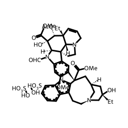 CC[C@]1(O)C[C@H]2C[N@](CCc3c([nH]c4ccccc34)[C@@](C(=O)OC)(c3cc4c(cc3OC)N(C=O)[C@H]3[C@@](O)(C(=O)OC)[C@H](OC(C)=O)[C@]5(CC)C=CCN6CC[C@]43[C@@H]65)C2)C1.O=S(=O)(O)O.O=S(=O)(O)O